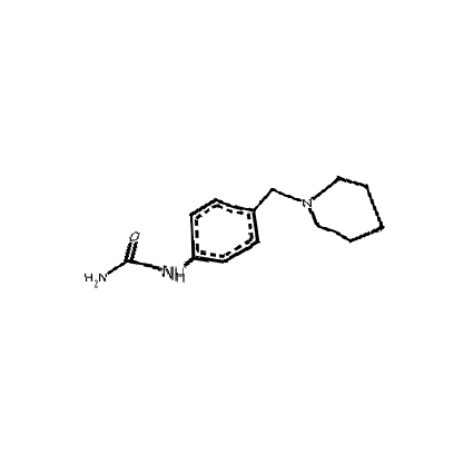 NC(=O)Nc1ccc(CN2CCCCC2)cc1